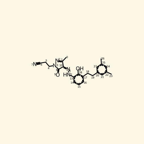 CC1=NN(CCC#N)C(=O)C1=NNc1cccc(CCc2cc(C)cc(C)c2)c1O